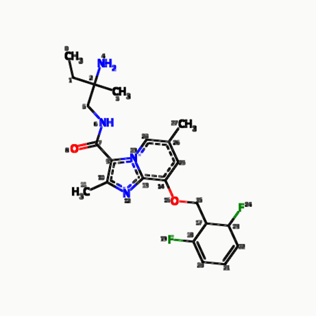 CCC(C)(N)CNC(=O)c1c(C)nc2c(OCC3C(F)=CC=CC3F)cc(C)cn12